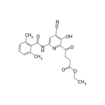 CCOC(=O)CCC(=O)c1nc(NC(=O)c2c(C)cccc2C)cc(C#N)c1O